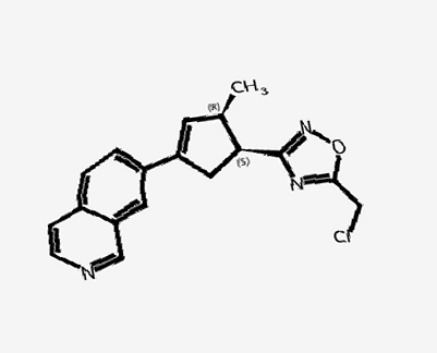 C[C@@H]1C=C(c2ccc3ccncc3c2)C[C@@H]1c1noc(CCl)n1